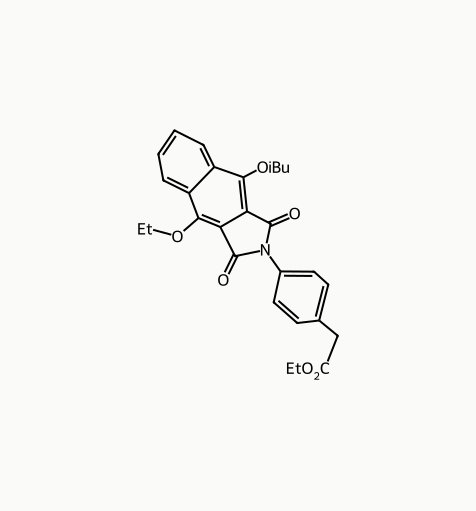 CCOC(=O)Cc1ccc(N2C(=O)c3c(c(OCC(C)C)c4ccccc4c3OCC)C2=O)cc1